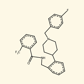 O=C(NCc1ccccc1C1CCN(Cc2ccc(F)cc2)CC1)c1ccccc1C(F)(F)F